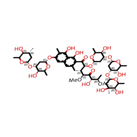 CO[C@H](C(=O)[C@@H](O)[C@@H](C)OC(C)=O)[C@@H]1Cc2cc3cc(O[C@H]4C[C@@H](O[C@H]5C[C@@H](C)[C@H](O)C(C)O5)[C@H](O)C(C)O4)c(C)c(O)c3c(O)c2C(=O)[C@H]1O[C@H]1C[C@@H](O[C@H]2C[C@@H](O[C@H]3C[C@](C)(O)[C@H](O)C(C)O3)[C@@H](O)C(C)O2)[C@H](O)C(C)O1